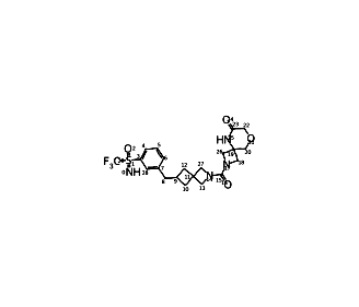 N=S(=O)(c1cccc(CC2CC3(C2)CN(C(=O)N2CC4(COCC(=O)N4)C2)C3)c1)C(F)(F)F